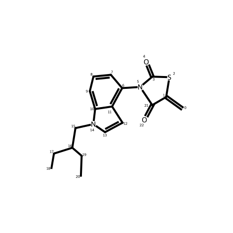 C=C1SC(=O)N(c2cccc3c2ccn3CC(CC)CC)C1=O